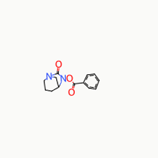 O=C(ON1C(=O)N2CCCC1C2)c1ccccc1